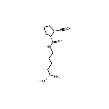 C#C[C@@H]1CCO[C@H]1C(=O)NCCCC[C@H](N)C(=O)O